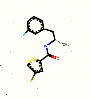 [CH2][C@@H](Cc1cccc(F)c1)NC(=O)c1cc(Br)cs1